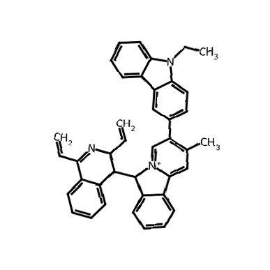 C=CC1=NC(C=C)C(C2c3ccccc3-c3cc(C)c(-c4ccc5c(c4)c4ccccc4n5CC)c[n+]32)c2ccccc21